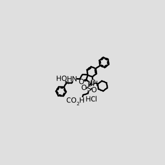 Cl.O=C(O)CCS(=O)(=O)NC(=O)C1(CCNC[C@H](O)c2ccccc2)C=CC(c2ccccc2)=CC1OC1CCCCC1